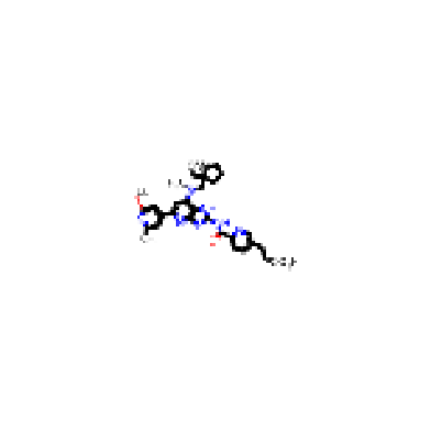 CCOc1cc(-c2cc(N(C)CC3(COC)CCCC3)c3[nH]c(NC(=O)c4ccc(CCC(=O)O)cn4)nc3n2)cc(C(F)(F)F)n1